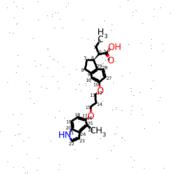 CCC(C(=O)O)[C@@H]1CCc2cc(OCCCOc3ccc4[nH]ccc4c3C)ccc21